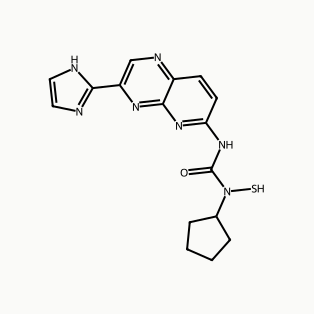 O=C(Nc1ccc2ncc(-c3ncc[nH]3)nc2n1)N(S)C1CCCC1